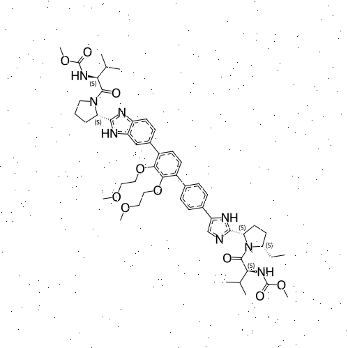 CC[C@H]1CC[C@@H](c2ncc(-c3ccc(-c4ccc(-c5ccc6nc([C@@H]7CCCN7C(=O)[C@@H](NC(=O)OC)C(C)C)[nH]c6c5)c(OCCOC)c4OCCOC)cc3)[nH]2)N1C(=O)[C@@H](NC(=O)OC)C(C)C